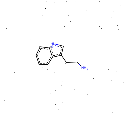 NCCc1c[nH]c2cc[c]cc12